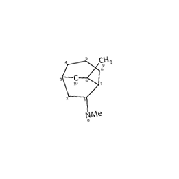 CNC1CC2CCCC1C(C)C2